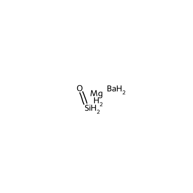 O=[SiH2].[BaH2].[MgH2]